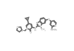 CC(=O)Nc1cc(Oc2ccc3nc(Nc4cc(C5CC5)cn(C[C@H]5CCOC5)c4=O)n(C)c3c2)ccn1